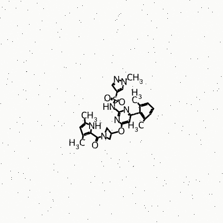 Cc1cc(C)c(C(=O)N2CC(Oc3cc(-c4c(C)cccc4C)nc(NS(=O)(=O)c4cnn(C)c4)n3)C2)[nH]1